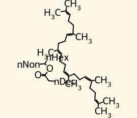 CC(C)=CCCC(C)=CCCC(C)=CCCC=C(C)CCC=C(C)CCC=C(C)C.CCCCCCCCCCCC(=O)OC(CCCCCC)CCCCCCCCC